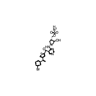 C=C(c1cccc(Br)c1)c1csc(C(=O)c2cncnc2N[C@@H]2C[C@H](COS(N)(=O)=O)[C@@H](O)C2)c1